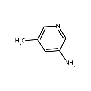 Cc1cn[c]c(N)c1